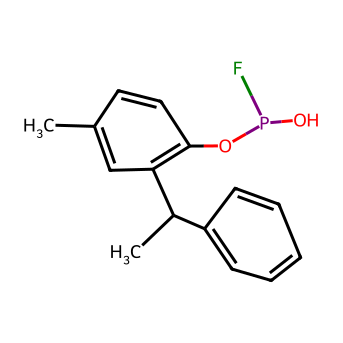 Cc1ccc(OP(O)F)c(C(C)c2ccccc2)c1